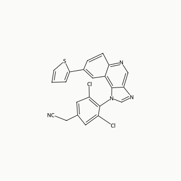 N#CCc1cc(Cl)c(-n2cnc3cnc4ccc(-c5cccs5)cc4c32)c(Cl)c1